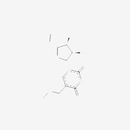 C[AsH]Cc1cn([C@@H]2O[C@H](CO)[C@@H](O)[C@H]2O)c(=O)[nH]c1=O